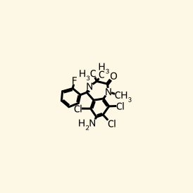 CN1C(=O)C(C)(C)N=C(c2ccccc2F)c2c(Cl)c(N)c(Cl)c(Cl)c21